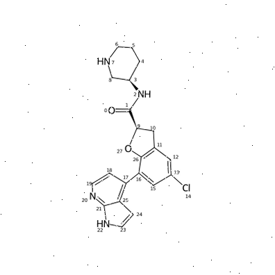 O=C(N[C@@H]1CCCNC1)[C@H]1Cc2cc(Cl)cc(-c3ccnc4[nH]ccc34)c2O1